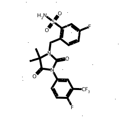 CC1(C)C(=O)N(c2ccc(F)c(C(F)(F)F)c2)C(=O)N1Cc1ccc(F)cc1S(N)(=O)=O